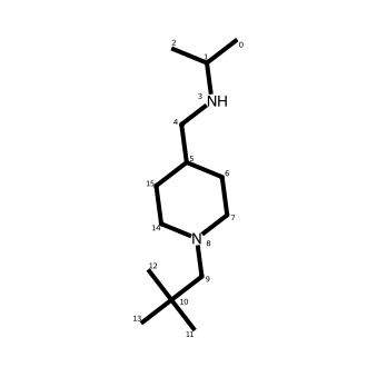 CC(C)NCC1CCN(CC(C)(C)C)CC1